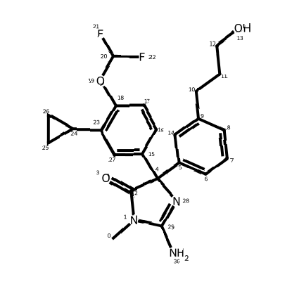 CN1C(=O)C(c2cccc(CCCO)c2)(c2ccc(OC(F)F)c(C3CC3)c2)N=C1N